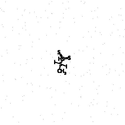 CS(I)(I)[SH](=S)=S